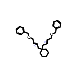 C(=C\CC1(C/C=C/COCc2ccccc2)CCCCC1)/COCc1ccccc1